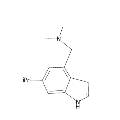 CC(C)c1cc(CN(C)C)c2cc[nH]c2c1